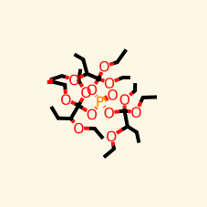 CCOC(CC)C(OCC)(OCC)OP(=O)(OC(OCC)(OCC)C(CC)OCC)OC(OCC)(OCC)C(CC)OCC